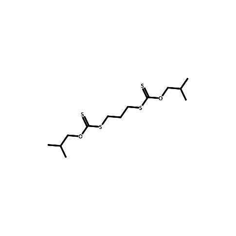 CC(C)COC(=S)SCCCSC(=S)OCC(C)C